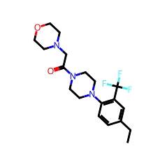 CCc1ccc(N2CCN(C(=O)CN3CCOCC3)CC2)c(C(F)(F)F)c1